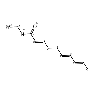 CC=CC=CCCC=CC(=O)NCC(C)C